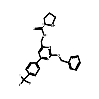 O=C(NCc1cc(-c2ccc(C(F)(F)F)cc2)nc(OCc2ccccc2)n1)[C@@H]1CCCN1